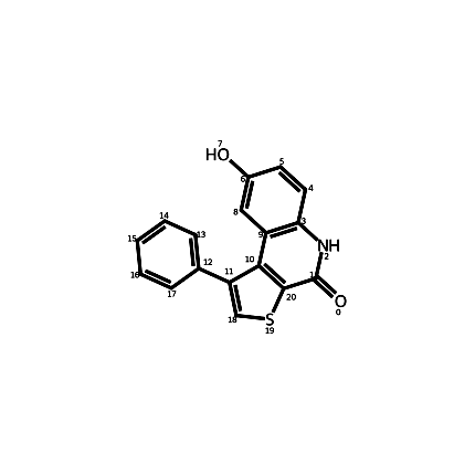 O=c1[nH]c2ccc(O)cc2c2c(-c3ccccc3)csc12